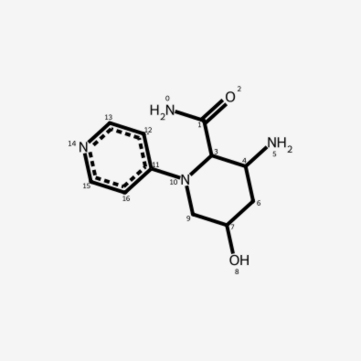 NC(=O)C1C(N)CC(O)CN1c1[c]cncc1